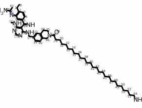 CCc1ccc(C(=N)c2c(NC)ncnc2NCc2ccc3c(c2)CCN(C(=O)CCCCCCCCCCCCCCCCCCCCCCCCCCN)C3)cc1/N=C(\C)N